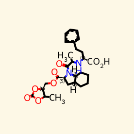 CC(N[C@@H](CCc1ccccc1)C(=O)O)C(=O)N1[C@H](C(=O)OC[C@@H]2OC(=O)OC2C)C[C@H]2CCCC[C@@H]21